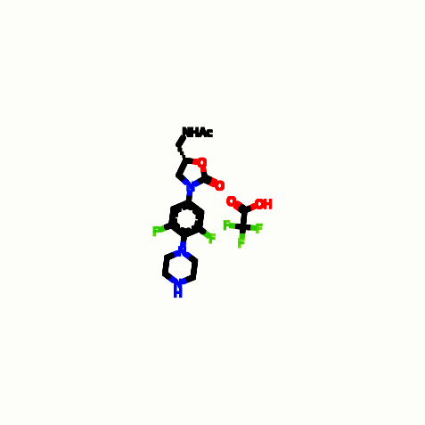 CC(=O)NC[C@H]1CN(c2cc(F)c(N3CCNCC3)c(F)c2)C(=O)O1.O=C(O)C(F)(F)F